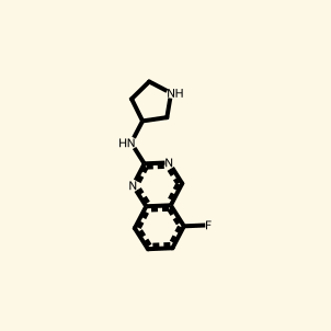 Fc1cccc2nc(NC3CCNC3)ncc12